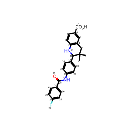 CC1(C)Cc2cc(C(=O)O)ccc2NC1c1ccc(NC(=O)c2ccc(F)cc2)cc1